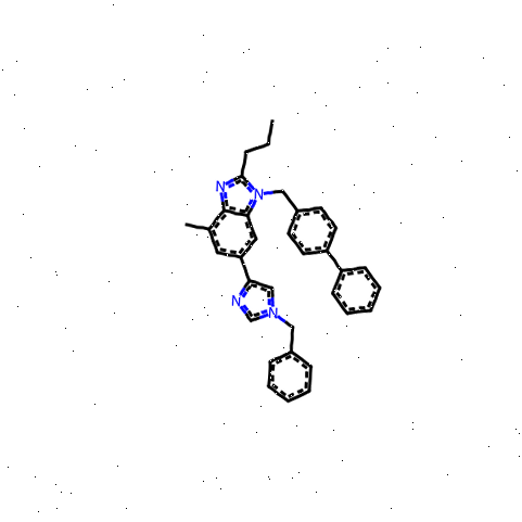 CCCc1nc2c(C)cc(-c3cn(Cc4ccccc4)cn3)cc2n1Cc1ccc(-c2ccccc2)cc1